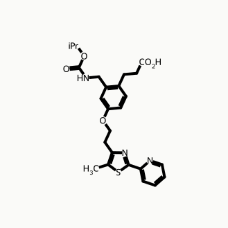 Cc1sc(-c2ccccn2)nc1CCOc1ccc(CCC(=O)O)c(CNC(=O)OC(C)C)c1